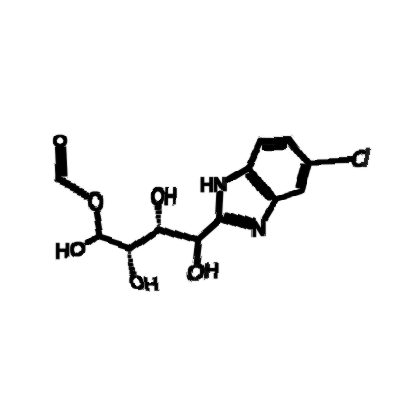 O=COC(O)[C@@H](O)[C@H](O)C(O)c1nc2cc(Cl)ccc2[nH]1